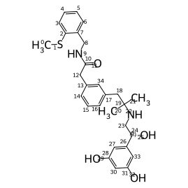 CSc1ccccc1CNC(=O)Cc1cccc(CC(C)(C)NC[C@H](O)c2cc(O)cc(O)c2)c1